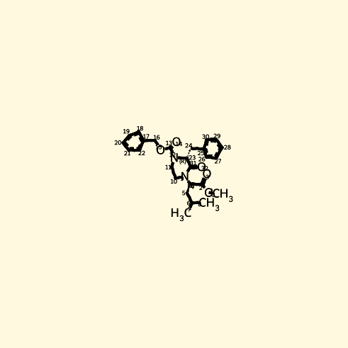 COC(=O)[C@@H](CC(C)C)N1CCN(C(=O)OCc2ccccc2)[C@H](Cc2ccccc2)C1=O